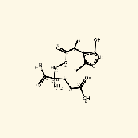 Cc1onc(O)c1C(C)C(=O)ON[C@@](N)(CCC(=O)O)C(=O)O